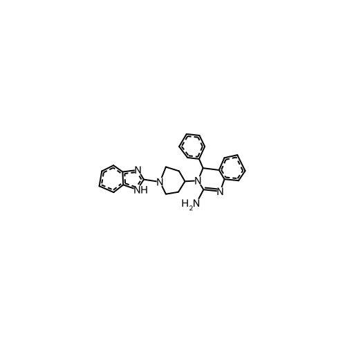 NC1=Nc2ccccc2C(c2ccccc2)N1C1CCN(c2nc3ccccc3[nH]2)CC1